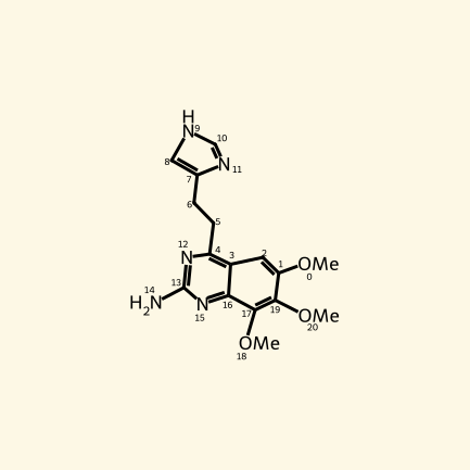 COc1cc2c(CCc3c[nH]cn3)nc(N)nc2c(OC)c1OC